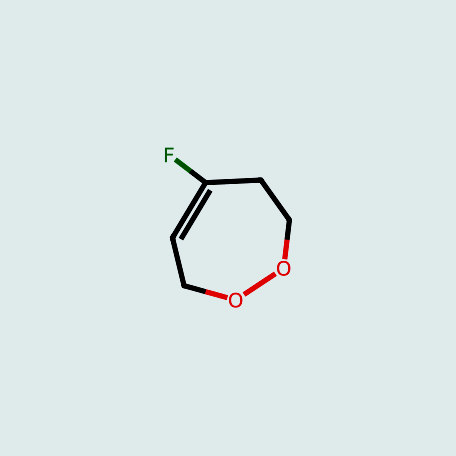 FC1=CCOOCC1